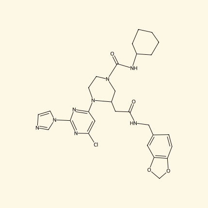 O=C(CC1CN(C(=O)NC2CCCCC2)CCN1c1cc(Cl)nc(-n2ccnc2)n1)NCc1ccc2c(c1)OCO2